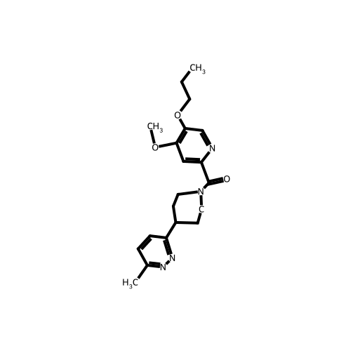 CCCOc1cnc(C(=O)N2CCC(c3ccc(C)nn3)CC2)cc1OC